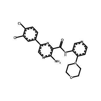 Nc1ncc(-c2ccc(Cl)c(Cl)c2)nc1C(=O)Nc1cnccc1N1CCOCC1